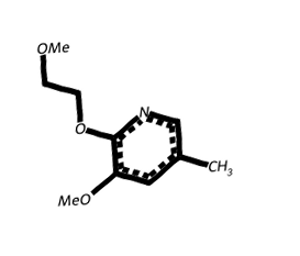 COCCOc1ncc(C)cc1OC